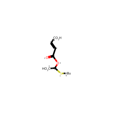 CCCCSC(OC(=O)C=CC(=O)O)C(=O)O